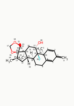 C=C1C=C[C@@]2(C)C(=C1)CC[C@H]1[C@@H]3C[C@@H](C)[C@@]4(OCOC45COCO5)[C@@]3(C)C[C@H](O)[C@@]12F